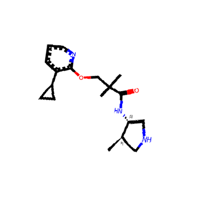 C[C@@H]1CNC[C@H]1NC(=O)C(C)(C)COc1ncccc1C1CC1